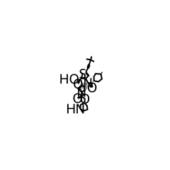 CC(C)(C)C#Cc1cc(N(C(=O)[C@H]2CC[C@H](C)CC2)[C@H]2CCN(C(=O)OC3CCCNC3)C2)c(C(=O)O)s1